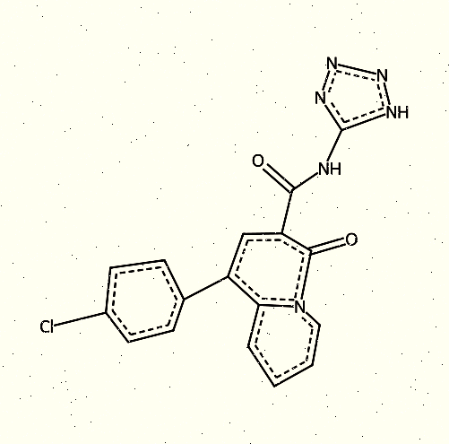 O=C(Nc1nnn[nH]1)c1cc(-c2ccc(Cl)cc2)c2ccccn2c1=O